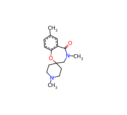 Cc1ccc2c(c1)C(=O)N(C)CC1(CCN(C)CC1)O2